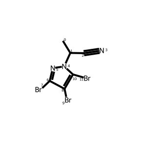 CC(C#N)n1nc(Br)c(Br)c1Br